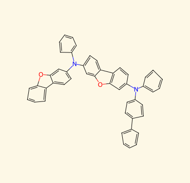 c1ccc(-c2ccc(N(c3ccccc3)c3ccc4c(c3)oc3cc(N(c5ccccc5)c5ccc6c(c5)oc5ccccc56)ccc34)cc2)cc1